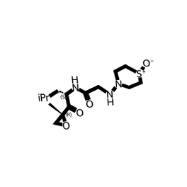 CC(C)C[C@H](NC(=O)CNN1CC[S+]([O-])CC1)C(=O)[C@@]1(C)CO1